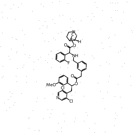 COc1cccc([C@H](Cc2c(Cl)cncc2Cl)OC(=O)Cc2cccc(CNC(C(=O)O[C@H]3CN4CCC3CC4)c3ccccc3F)c2)c1